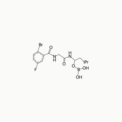 CC(C)CC(NC(=O)CNC(=O)c1cc(F)ccc1Br)OB(O)O